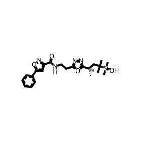 C[C@@H](CC(C)(C)[Si](C)(C)O)c1nnc(CCNC(=O)c2cc(-c3ccccc3)on2)o1